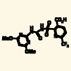 COc1cc(OC)nc(NC(=O)NS(=O)(=O)c2nc(C(F)(F)F)ccc2C(=O)O)n1